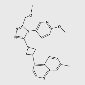 COCc1nnc(N2CC(c3ccnc4cc(F)ccc34)C2)n1-c1ccc(OC)nc1